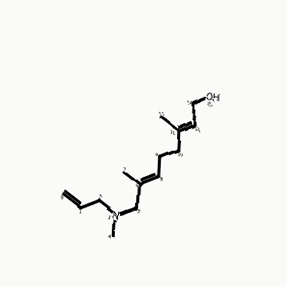 C=CCN(C)C/C(C)=C/CC/C(C)=C/CO